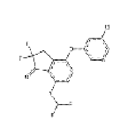 O=C1c2c(SC(F)F)ccc(Oc3cncc(Cl)c3)c2CC1(F)F